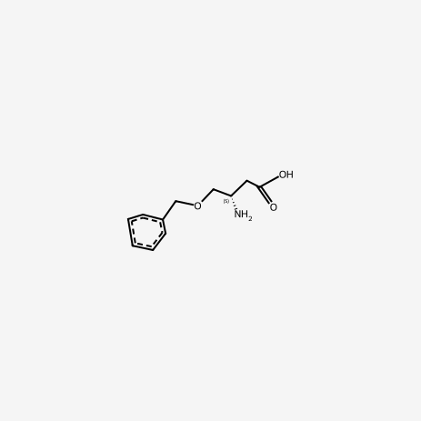 N[C@H](COCc1ccccc1)CC(=O)O